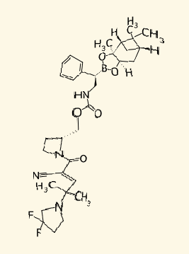 CC1(C)[C@@H]2C[C@H]3OB([C@@H](CNC(=O)OC[C@H]4CCN4C(=O)C(C#N)=CC(C)(C)N4CCC(F)(F)C4)c4ccccc4)O[C@@]3(C)[C@H]1C2